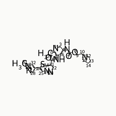 Cc1ncc(NC(=O)OCCN2CCCC2)cc1NC(=O)c1cnn2cc(-c3cnn(C)c3)sc12